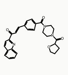 O=C(C=Cc1ccc(C(=O)N2CCN(C(=O)C3CCCO3)CC2)cc1)c1ccc2ccccc2n1